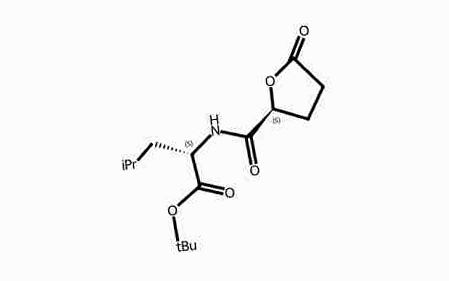 CC(C)C[C@H](NC(=O)[C@@H]1CCC(=O)O1)C(=O)OC(C)(C)C